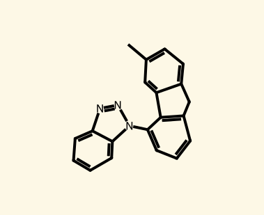 Cc1ccc2c(c1)-c1c(cccc1-n1nnc3ccccc31)C2